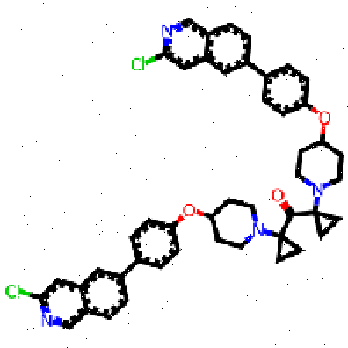 O=C(C1(N2CCC(Oc3ccc(-c4ccc5cnc(Cl)cc5c4)cc3)CC2)CC1)C1(N2CCC(Oc3ccc(-c4ccc5cnc(Cl)cc5c4)cc3)CC2)CC1